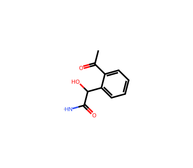 CC(=O)c1ccccc1C(O)C([NH])=O